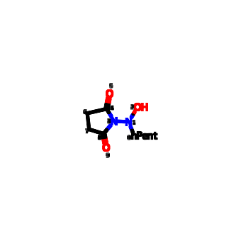 CCCCCN(O)N1C(=O)CCC1=O